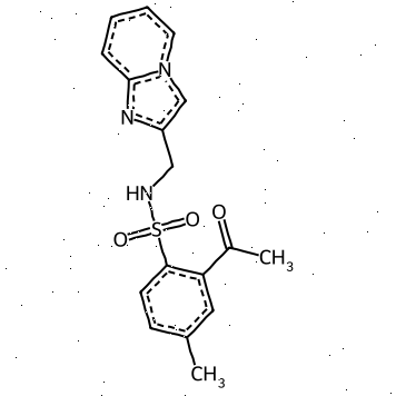 CC(=O)c1cc(C)ccc1S(=O)(=O)NCc1cn2ccccc2n1